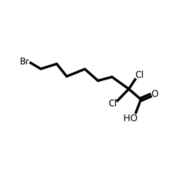 O=C(O)C(Cl)(Cl)CCCCCCBr